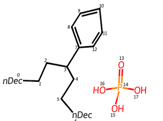 CCCCCCCCCCCCC(CCCCCCCCCCCC)c1ccccc1.O=P(O)(O)O